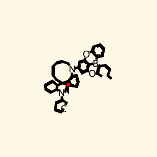 CC/C=C\C1=C(C)Oc2cc(N3C/C=C\C=C/CC4(c5ccccc53)c3ccccc3N(C3=CC=CCC3)C3C=CC=CC34)cc3c2B1c1ccccc1O3